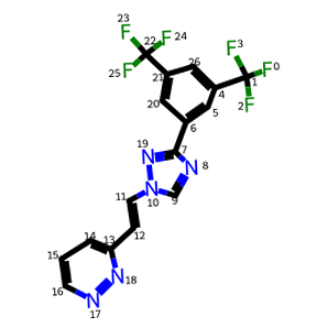 FC(F)(F)c1cc(-c2ncn(/C=C/c3cccnn3)n2)cc(C(F)(F)F)c1